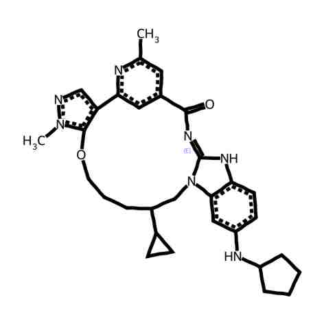 Cc1cc2cc(n1)-c1cnn(C)c1OCCCC(C1CC1)CN1/C(=N/C2=O)Nc2ccc(NC3CCCC3)cc21